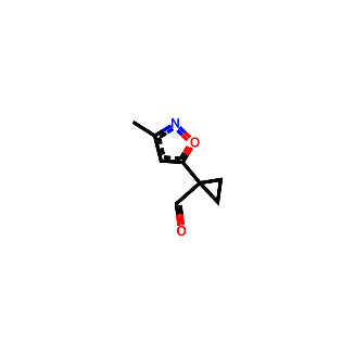 Cc1cc(C2(C=O)CC2)on1